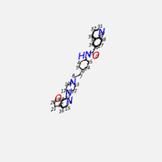 O=C(N[C@H]1CC[C@H](CCN2CCN(c3nccc4c3OCC4)CC2)CC1)c1ccc2ncccc2c1